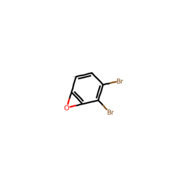 Brc1c[c]c2c(c1Br)O2